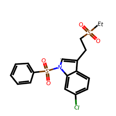 CCS(=O)(=O)CCc1[c]n(S(=O)(=O)c2ccccc2)c2cc(Cl)ccc12